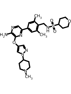 Cc1cc(-c2cnc(N)c(Oc3cnn(C4CCN(C)CC4)c3)n2)cc(C)c1CNS(=O)(=O)C1CCOCC1